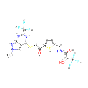 Cn1cc2c(SCC(=O)c3ccc(CNC(=O)C(O)C(F)(F)F)s3)nc(C(F)(F)F)nc2n1